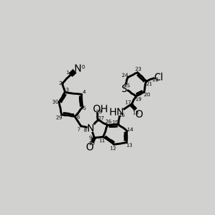 N#CCc1ccc(CN2C(=O)c3cccc(NC(=O)C4=CC(Cl)=CCS4)c3C2O)cc1